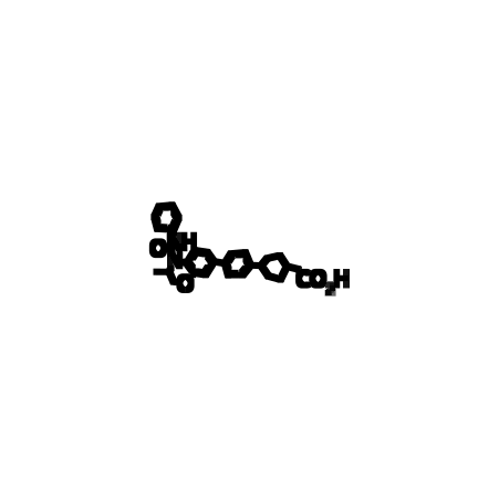 CC1COc2cc(-c3ccc(C4CCC(CC(=O)O)CC4)cc3)ccc2N1C(=O)Nc1ccccc1